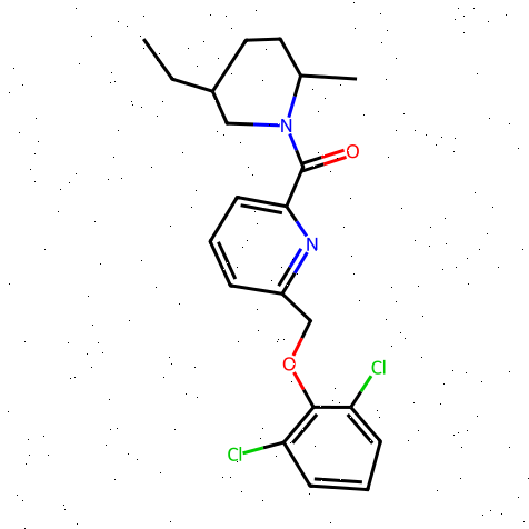 CCC1CCC(C)N(C(=O)c2cccc(COc3c(Cl)cccc3Cl)n2)C1